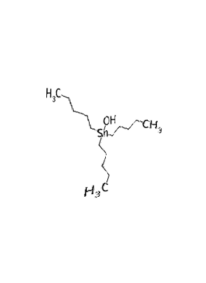 CCCC[CH2][Sn]([OH])([CH2]CCCC)[CH2]CCCC